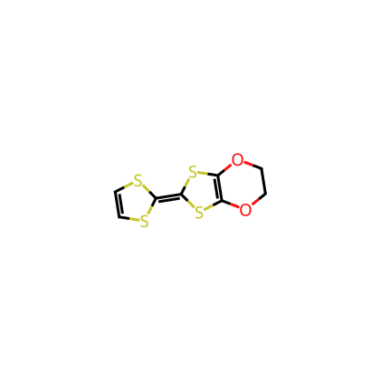 C1=CSC(=C2SC3=C(OCCO3)S2)S1